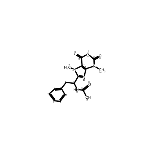 Cn1c(C(Cc2ccccc2)NC(=O)O)nc2c1c(=O)[nH]c(=O)n2C